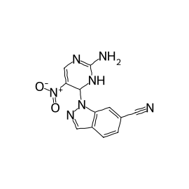 N#Cc1ccc2cnn(C3NC(N)=NC=C3[N+](=O)[O-])c2c1